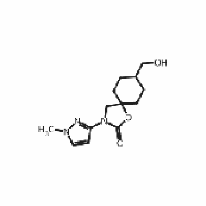 Cn1ccc(N2CC3(CCC(CO)CC3)OC2=O)n1